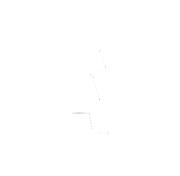 O=C(O)C(O)CNCCO